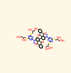 O=C1c2ccccc2C(=O)c2c(-c3ccc(Nc4nc(SCC(O)CO)nc(SCC(O)CO)n4)c4c3C(=O)c3ccccc3C4=O)ccc(Nc3nc(SCC(O)CO)nc(SCC(O)CO)n3)c21